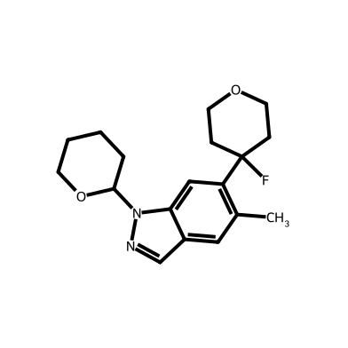 Cc1cc2cnn(C3CCCCO3)c2cc1C1(F)CCOCC1